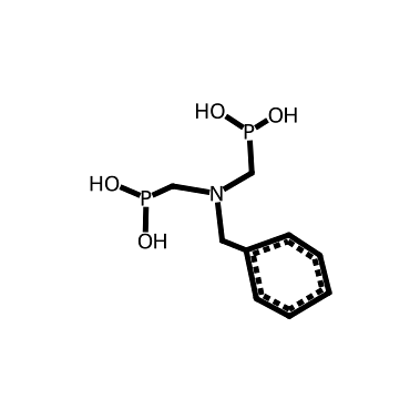 OP(O)CN(Cc1ccccc1)CP(O)O